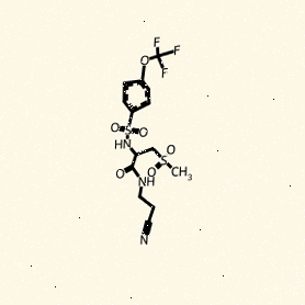 CS(=O)(=O)CC(NS(=O)(=O)c1ccc(OC(F)(F)F)cc1)C(=O)NCCC#N